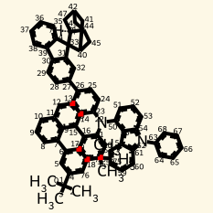 CC(C)(C)c1cc(-c2cccc3cccc(-c4ccccc4N(c4ccc(-c5ccc6c(c5)C5(c7ccccc7-6)C6CC7CC(C6)[C@@H]5C7)cc4)c4cccc5c4c4ccccc4n5-c4ccccc4)c23)cc(C(C)(C)C)c1